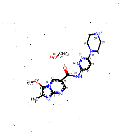 CCOc1c(C)nc2ncc(C(=O)Nc3ccc(N4CCNCC4)nn3)cn12.O=CO